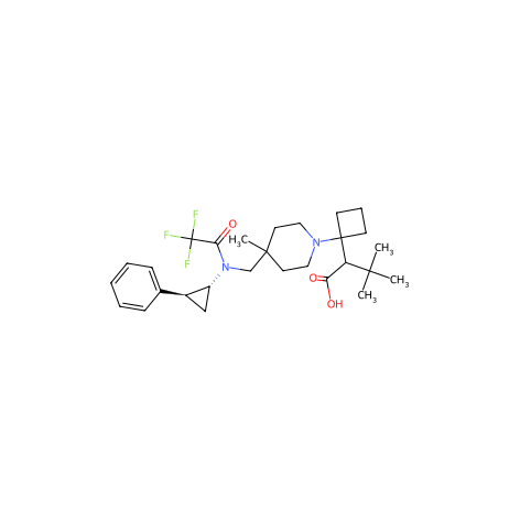 CC1(CN(C(=O)C(F)(F)F)[C@@H]2C[C@H]2c2ccccc2)CCN(C2(C(C(=O)O)C(C)(C)C)CCC2)CC1